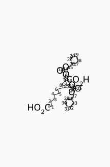 O=C(O)CCCCCCCCC(COC(=O)OCc1ccccc1)(COC(=O)OCc1ccccc1)C(=O)O